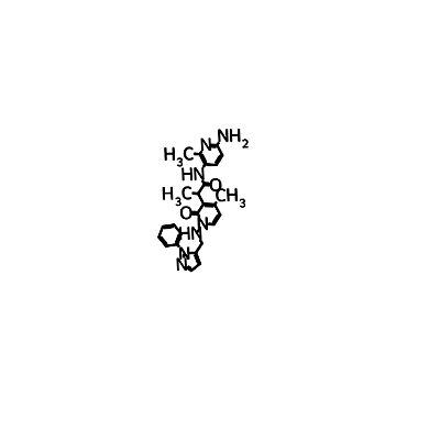 Cc1ccn(NCc2ccnn2-c2ccccc2)c(=O)c1C(C)C(=O)Nc1ccc(N)nc1C